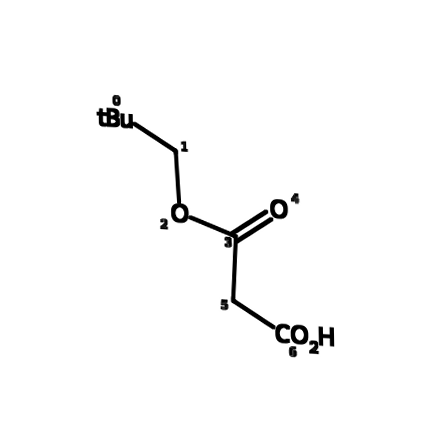 CC(C)(C)COC(=O)CC(=O)O